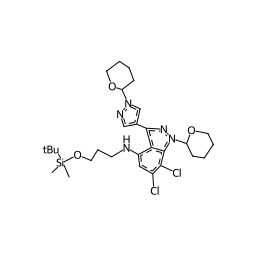 CC(C)(C)[Si](C)(C)OCCCNc1cc(Cl)c(Cl)c2c1c(-c1cnn(C3CCCCO3)c1)nn2C1CCCCO1